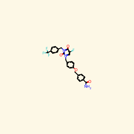 NC(=O)c1ccc(COc2ccc(Cn3cc(F)c(=O)n(Cc4ccc(C(F)(F)F)cc4)c3=O)cc2)cc1